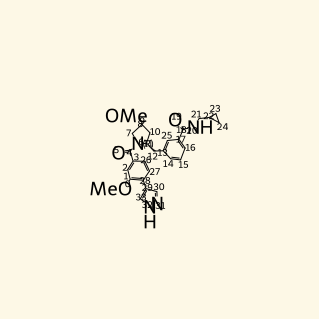 COc1cc(C(=O)N2CC(OC)C[C@H]2Cc2cccc(C(=O)NCC3CC3)c2)ccc1-c1cn[nH]c1